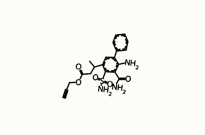 C#CCOC(=O)CC(C)c1cc(-c2ccccc2)c(N)c(C(N)=O)c1S(N)(=O)=O